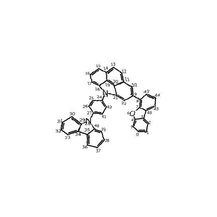 c1ccc2c(c1)oc1c(-c3cc4ccc5cccc6c5c4c(c3)n6-c3ccc(-n4c5ccccc5c5ccccc54)cc3)cccc12